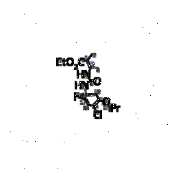 CCOC(=O)/C(C)=C(/C)NC(=O)Nc1cc(OC(C)C)c(Cl)cc1F